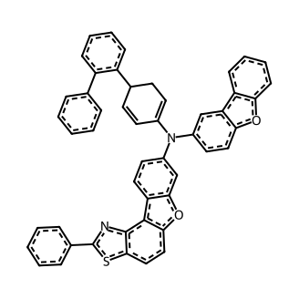 C1=CC(c2ccccc2-c2ccccc2)CC=C1N(c1ccc2c(c1)oc1ccc3sc(-c4ccccc4)nc3c12)c1ccc2oc3ccccc3c2c1